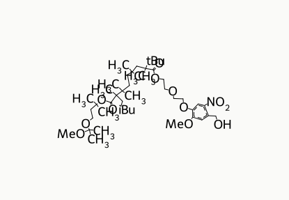 CCC(C)CC(C)(C(=O)OC(C)(C)CCOC(C)(C)OC)C(C)(C)CCC(C)(C)CC(C)(C(=O)OCCOCCOc1cc([N+](=O)[O-])c(CO)cc1OC)C(C)(C)C